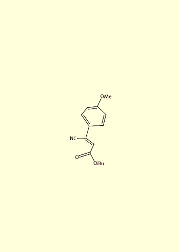 COc1ccc(C(C#N)=CC(=O)OCC(C)C)cc1